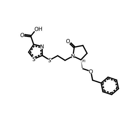 O=C(O)c1csc(SCCN2C(=O)CC[C@@H]2COCc2ccccc2)n1